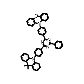 CC1(C)c2ccccc2N(c2ccc(-c3nc(-c4ccccc4)nc(-c4ccc(N5c6ccccc6Oc6ccccc65)cc4)n3)cc2)c2ccccc21